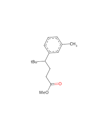 COC(=O)CCC(c1cccc(C)c1)C(C)(C)C